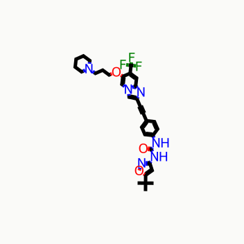 CC(C)(C)c1cc(NC(=O)Nc2ccc(C#Cc3cn4cc(OCCCN5CCCCC5)c(C(F)(F)F)cc4n3)cc2)no1